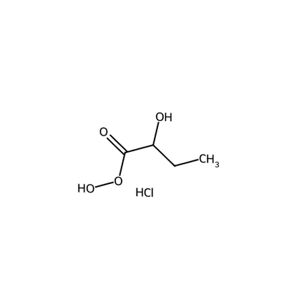 CCC(O)C(=O)OO.Cl